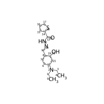 CCN(CC)c1ccc(/C=N/NC(=O)c2cccs2)c(O)c1